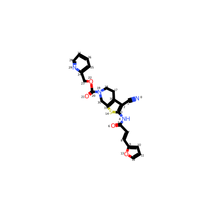 N#Cc1c(NC(=O)/C=C/c2ccco2)sc2c1CCN(C(=O)OCc1ccccn1)C2